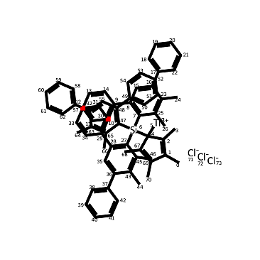 CC1=C(C)[C]([Ti+3])([Si](c2c(-c3ccccc3)cc(-c3ccccc3)c(C)c2C)(c2c(-c3ccccc3)cc(-c3ccccc3)c(C)c2C)c2c(-c3ccccc3)cc(-c3ccccc3)c(C)c2C)C(C)=C1C.[Cl-].[Cl-].[Cl-]